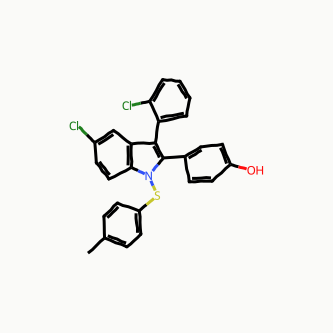 Cc1ccc(Sn2c(-c3ccc(O)cc3)c(-c3ccccc3Cl)c3cc(Cl)ccc32)cc1